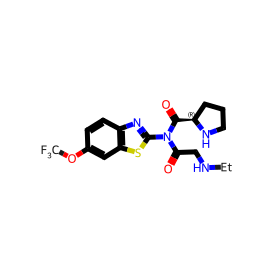 CCNCC(=O)N(C(=O)[C@H]1CCCN1)c1nc2ccc(OC(F)(F)F)cc2s1